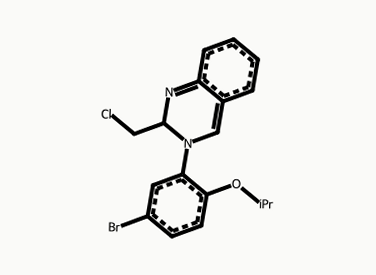 CC(C)Oc1ccc(Br)cc1N1C=c2ccccc2=NC1CCl